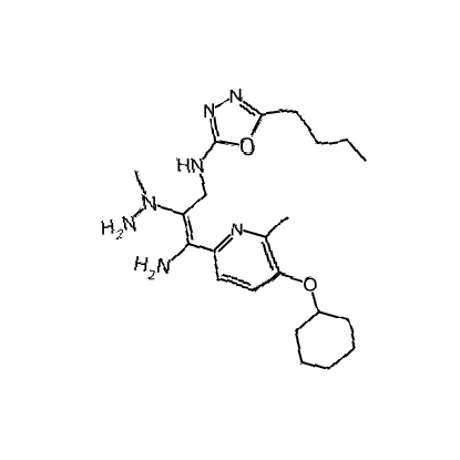 CCCCc1nnc(NC/C(=C(/N)c2ccc(OC3CCCCC3)c(C)n2)N(C)N)o1